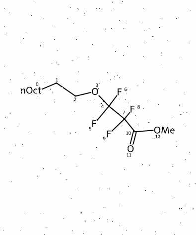 CCCCCCCCCCOC(F)(F)C(F)(F)C(=O)OC